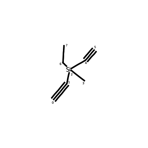 C#C[Si](C)(C#C)CC